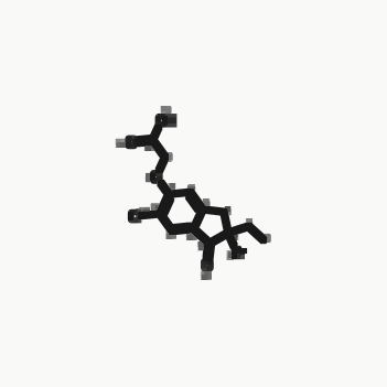 CCC1(Br)Cc2cc(OCC(=O)O)c(Cl)cc2C1=O